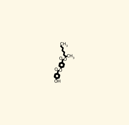 CCCCCCC(C)OC(=O)c1ccc(OC(=O)c2ccc(O)cc2)cc1